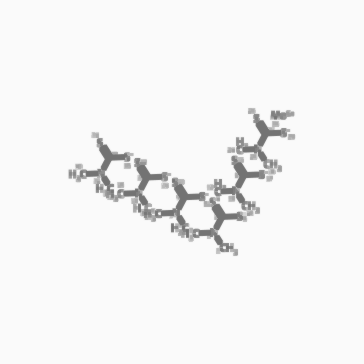 CN(C)C(=S)[S-].CN(C)C(=S)[S-].CN(C)C(=S)[S-].CN(C)C(=S)[S-].CN(C)C(=S)[S-].CN(C)C(=S)[S-].[Mo+6]